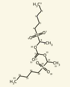 CCCCCS(=O)(=O)C(C)OC(=O)OC(C)S(=O)(=O)CCCCC